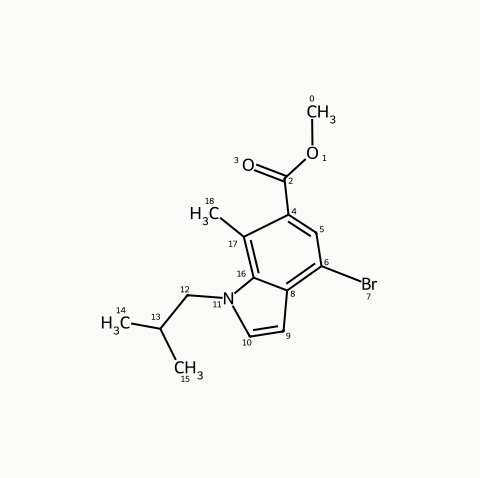 COC(=O)c1cc(Br)c2ccn(CC(C)C)c2c1C